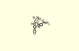 NC(=O)CCC1C(=O)Nc2ccc(N3CCOCC3)cc2-c2nc3ccc(C(N)=O)cc3n21